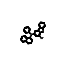 Brc1cc(N(c2ccccc2)c2cccc3ccccc23)cc2c1sc1ccccc12